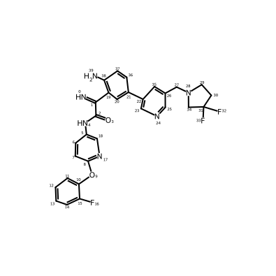 N=C(C(=O)Nc1ccc(Oc2ccccc2F)nc1)c1cc(-c2cncc(CN3CCC(F)(F)C3)c2)ccc1N